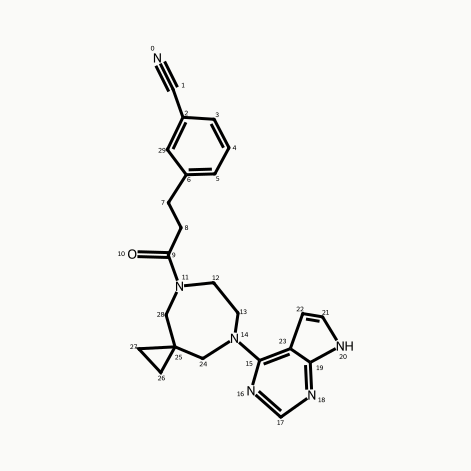 N#Cc1cccc(CCC(=O)N2CCN(c3ncnc4[nH]ccc34)CC3(CC3)C2)c1